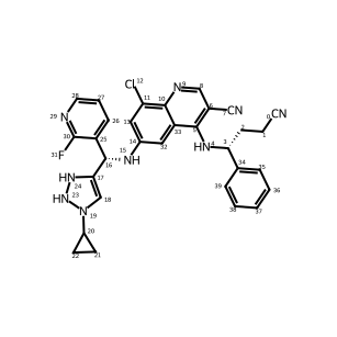 N#CCC[C@@H](Nc1c(C#N)cnc2c(Cl)cc(N[C@H](C3=CN(C4CC4)NN3)c3cccnc3F)cc12)c1ccccc1